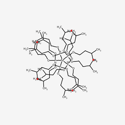 CC(C)CCO[PH](OCCC(C)C)(OCCC(C)C)[Fe]([PH](OCCC(C)C)(OCCC(C)C)OCCC(C)C)([PH](OCCC(C)C)(OCCC(C)C)OCCC(C)C)([PH](OCCC(C)C)(OCCC(C)C)OCCC(C)C)[PH](OCCC(C)C)(OCCC(C)C)OCCC(C)C